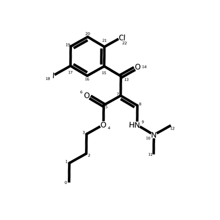 CCCCOC(=O)C(=CNN(C)C)C(=O)c1cc(I)ccc1Cl